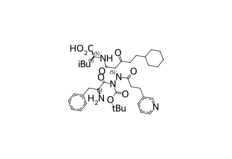 CC[C@H](C)[C@H](NC(=O)[C@H](C(=O)CCC1CCCCC1)N(C(=O)CCc1cccnc1)N(C(=O)OC(C)(C)C)C(=O)[C@@H](N)Cc1ccccc1)C(=O)O